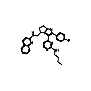 CCCCNc1nccc(-c2c(-c3ccc(F)cc3)nc3n2C(CNc2ccc4ccccc4n2)CC3)n1